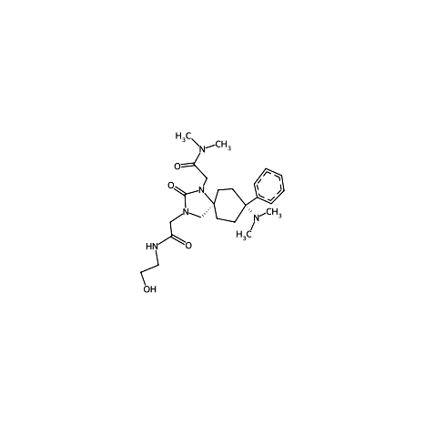 CN(C)C(=O)CN1C(=O)N(CC(=O)NCCO)C[C@]12CC[C@@](c1ccccc1)(N(C)C)CC2